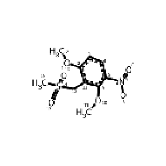 COc1ccc([N+](=O)[O-])c(OC)c1[CH]S(C)(=O)=O